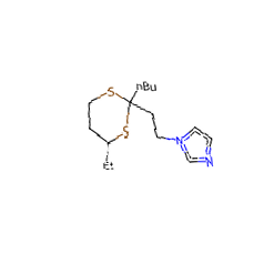 CCCCC1(CCn2ccnc2)SCCC(CC)S1